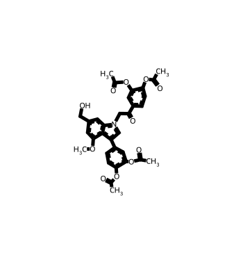 COc1cc(CO)cc2c1c(-c1ccc(OC(C)=O)c(OC(C)=O)c1)cn2CC(=O)c1ccc(OC(C)=O)c(OC(C)=O)c1